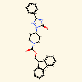 O=C(OCC1c2ccccc2-c2ccccc21)N1CCC(N2NC(c3ccccc3)NC2=O)CC1